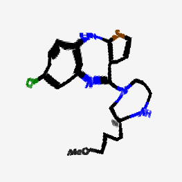 COCCC[C@H]1CN(C2=Nc3cc(Cl)ccc3Nc3sccc32)CCN1